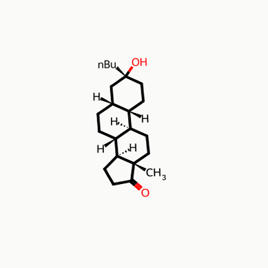 CCCC[C@@]1(O)CC[C@H]2[C@H](CC[C@@H]3[C@@H]2CC[C@]2(C)C(=O)CC[C@@H]32)C1